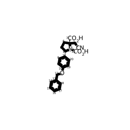 N#CC[C@]1(C(=O)O)CC[C@@H](c2ccc(OCc3ccccc3)cc2)N1C(=O)O